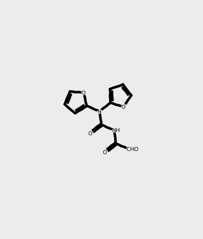 O=CC(=O)NC(=O)N(c1ccco1)c1ccco1